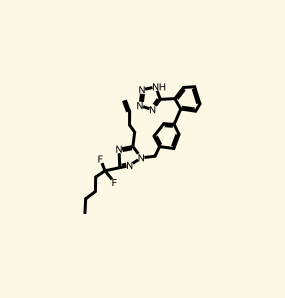 C=CCCc1nc(C(F)(F)CCCC)nn1Cc1ccc(-c2ccccc2-c2nnn[nH]2)cc1